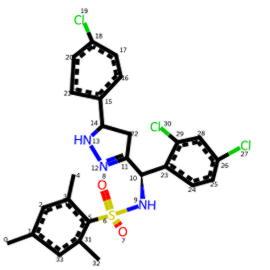 Cc1cc(C)c(S(=O)(=O)N[C@@H](C2=NNC(c3ccc(Cl)cc3)C2)c2ccc(Cl)cc2Cl)c(C)c1